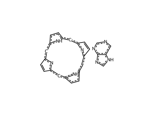 C1=Cc2cc3ccc(cc4nc(cc5ccc(cc1n2)[nH]5)C=C4)[nH]3.c1ncc2[nH]cnc2n1